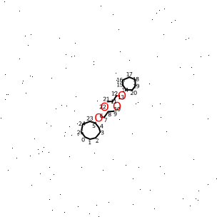 C1CCCCC(OCC2COC(COC3CCCCCC3)CO2)CCC1